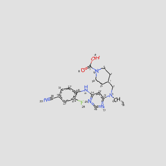 CN(CC1CCN(C(=O)O)CC1)c1cc(Nc2ccc(C#N)cc2F)ncn1